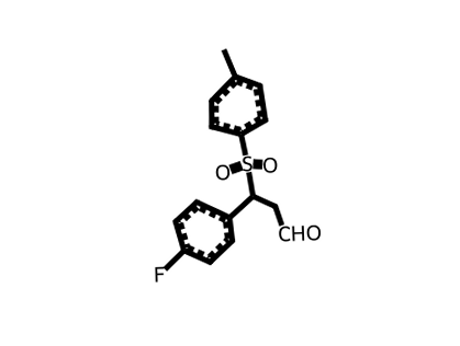 Cc1ccc(S(=O)(=O)C(CC=O)c2ccc(F)cc2)cc1